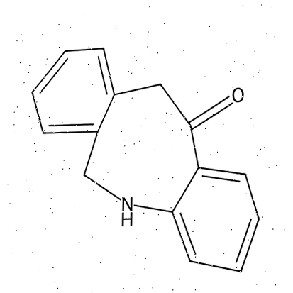 O=C1Cc2ccccc2CNc2ccccc21